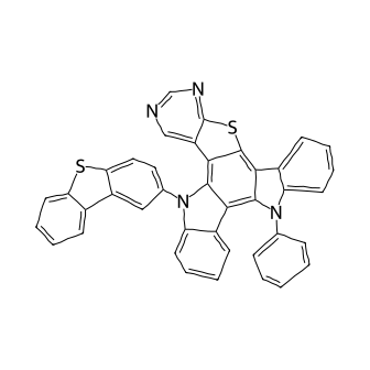 c1ccc(-n2c3ccccc3c3c4sc5ncncc5c4c4c(c5ccccc5n4-c4ccc5sc6ccccc6c5c4)c32)cc1